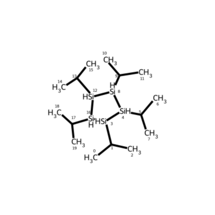 CC(C)[SiH]1[SiH](C(C)C)[SiH](C(C)C)[SiH](C(C)C)[SiH]1C(C)C